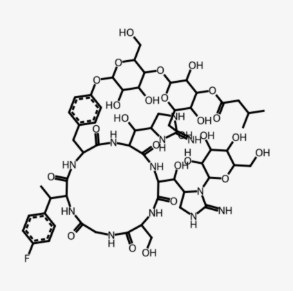 CC(C)CC(=O)OC1C(O)C(CO)OC(OC2C(CO)OC(Oc3ccc(CC4NC(=O)C(C(C)c5ccc(F)cc5)NC(=O)CNC(=O)C(CO)NC(=O)C(C(O)C5CNC(=N)N5C5OC(CO)C(O)C(O)C5O)NC(=O)C(C(O)C5CNC(=N)N5)NC4=O)cc3)C(O)C2O)C1O